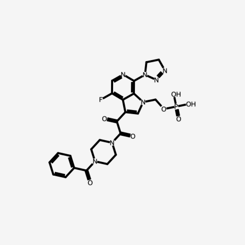 O=C(C(=O)N1CCN(C(=O)c2ccccc2)CC1)c1cn(COP(=O)(O)O)c2c(N3CCN=N3)ncc(F)c12